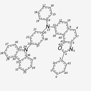 c1ccc(-c2nc3ccc4ccc(N(c5ccccc5)c5ccc(-n6c7ccccc7c7ccccc76)cc5)cc4c3o2)cc1